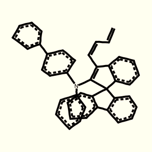 C=C/C=C\C1=C(N(c2ccccc2)c2ccc(-c3ccccc3)cc2)C2(c3ccccc31)c1ccccc1-c1ccccc12